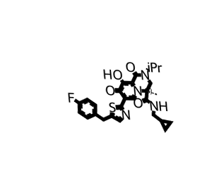 CC(C)N1C[C@@](C)(C(=O)NCC2CC2)n2cc(-c3ncc(Cc4ccc(F)cc4)s3)c(=O)c(O)c2C1=O